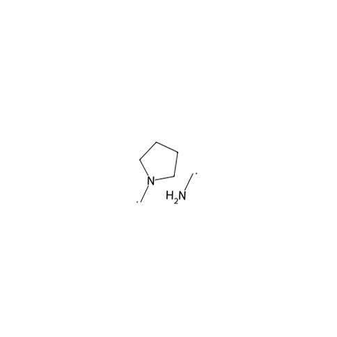 [CH2]N.[CH2]N1CCCC1